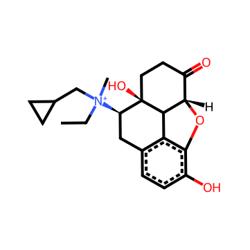 CC[N+](C)(CC1CC1)[C@@H]1Cc2ccc(O)c3c2C2[C@@H](O3)C(=O)CC[C@]21O